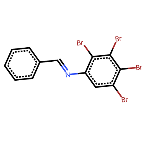 Brc1cc(N=Cc2ccccc2)c(Br)c(Br)c1Br